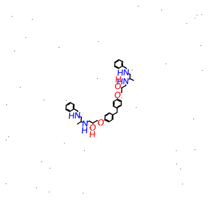 CC(CNCc1ccccc1)NCC(O)COc1ccc(Cc2ccc(OCC(O)CNC(C)CNCc3ccccc3)cc2)cc1